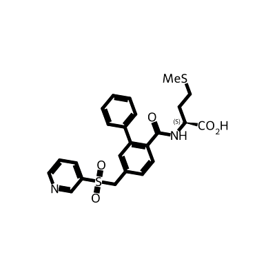 CSCC[C@H](NC(=O)c1ccc(CS(=O)(=O)c2cccnc2)cc1-c1ccccc1)C(=O)O